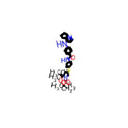 CC(C)(C)OC(=O)N1CC(Sc2ccc(NC(=O)c3ccc(Nc4ccnc5ccccc45)cc3)cc2)CC1C(=O)C(C)(C)C